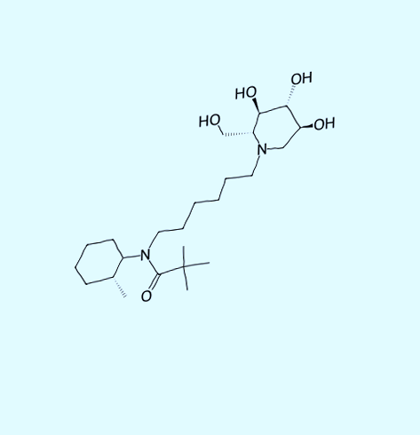 C[C@@H]1CCCCC1N(CCCCCCN1C[C@H](O)[C@@H](O)[C@H](O)[C@H]1CO)C(=O)C(C)(C)C